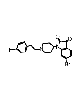 O=C1C(=O)N(C2CCN(CCc3ccc(F)cc3)CC2)c2cc(Br)ccc21